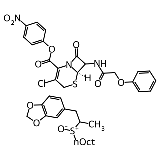 CCCCCCCC[S+]([O-])C(C)Cc1ccc2c(c1)OCO2.O=C(COc1ccccc1)NC1C(=O)N2C(C(=O)Oc3ccc([N+](=O)[O-])cc3)=C(Cl)CS[C@H]12